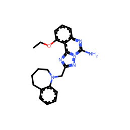 CCOc1cccc2nc(N)n3nc(CN4CCCCc5ccccc54)nc3c12